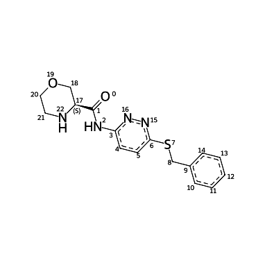 O=C(Nc1ccc(SCc2ccccc2)nn1)[C@@H]1COCCN1